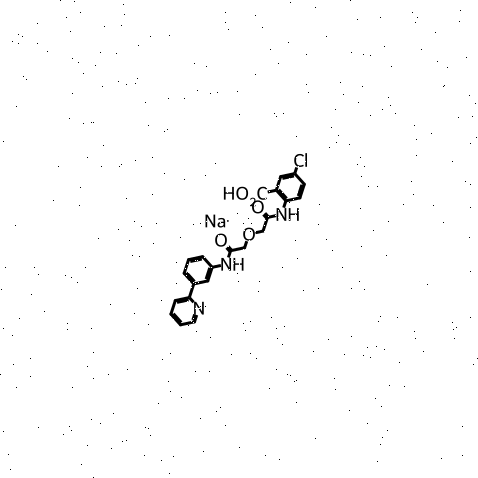 O=C(COCC(=O)Nc1ccc(Cl)cc1C(=O)O)Nc1cccc(-c2ccccn2)c1.[Na]